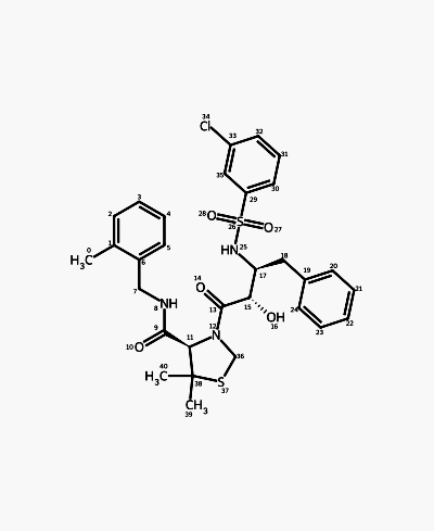 Cc1ccccc1CNC(=O)[C@H]1N(C(=O)[C@@H](O)[C@H](Cc2ccccc2)NS(=O)(=O)c2cccc(Cl)c2)CSC1(C)C